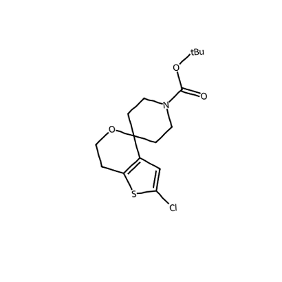 CC(C)(C)OC(=O)N1CCC2(CC1)OCCc1sc(Cl)cc12